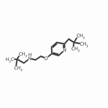 CC(C)(C)CNCCOc1ccc(CC(C)(C)C)nc1